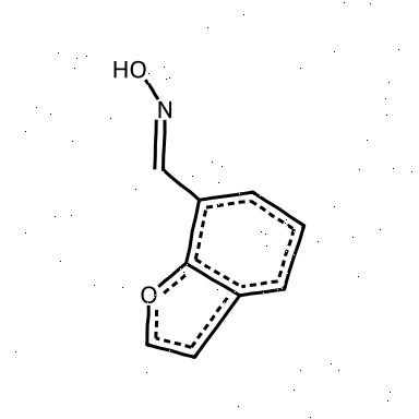 ON=Cc1cccc2ccoc12